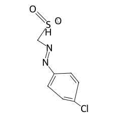 O=[SH](=O)CN=Nc1ccc(Cl)cc1